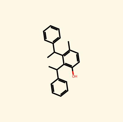 Cc1ccc(O)c(C(C)c2ccccc2)c1C(C)c1ccccc1